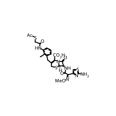 CO/N=C(\C(=O)N[C@@H]1C(=O)N2C(C(=O)O)=C(Cc3cccc(NC(=O)CSC(C)=O)c3C)CS[C@H]12)c1csc(N)n1